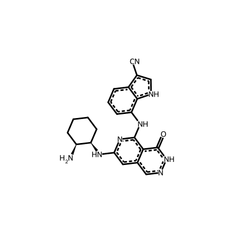 N#Cc1c[nH]c2c(Nc3nc(N[C@@H]4CCCC[C@@H]4N)cc4cn[nH]c(=O)c34)cccc12